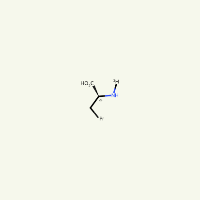 [2H]N[C@@H](CC(C)C)C(=O)O